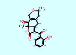 CC1CC2=C(CO1)C(=O)C1(C)OC(=O)C(C(=O)c3ccccc3O)=C1C2